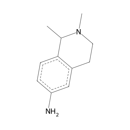 CC1c2ccc(N)cc2CCN1C